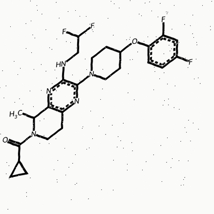 CC1c2nc(NCC(F)F)c(N3CCC(Oc4ccc(F)cc4F)CC3)nc2CCN1C(=O)C1CC1